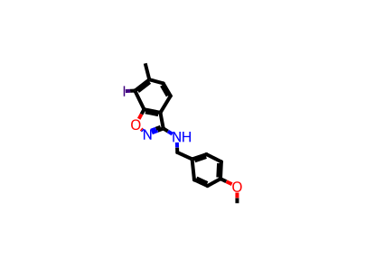 COc1ccc(CNc2noc3c(I)c(C)ccc23)cc1